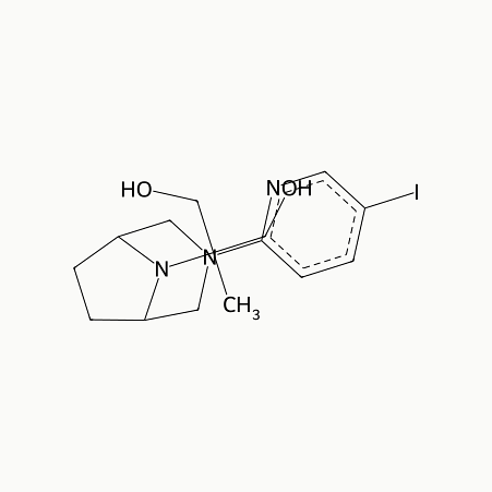 CC(CO)(CO)N1C2CCC1CN(c1ccc(I)cn1)C2